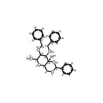 OC1OC2COC(c3ccccc3)O[C@H]2[C@H](OCc2ccccc2)C1OCc1ccccc1